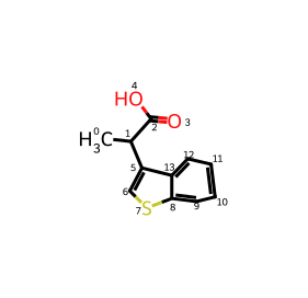 CC(C(=O)O)c1csc2ccccc12